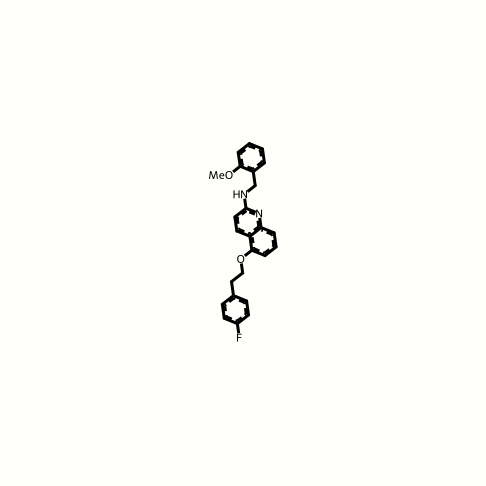 COc1ccccc1CNc1ccc2c(OCCc3ccc(F)cc3)cccc2n1